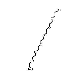 OCCOCCOCCOCCOCCOCCOCC1CO1